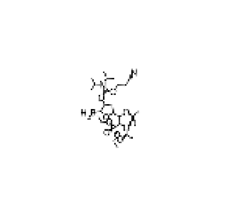 B[C@@H]1O[C@H](C(OC(C)=O)C(OC(C)=O)P(=O)(OCC)OCC)C[C@@H]1OP(OCCC#N)N(C(C)C)C(C)C